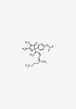 C=C(/C=C\C=C(/C)CCCC(F)(F)F)C1(c2ccc(OC(F)F)cc2)N=C(N)N(C)C1=O